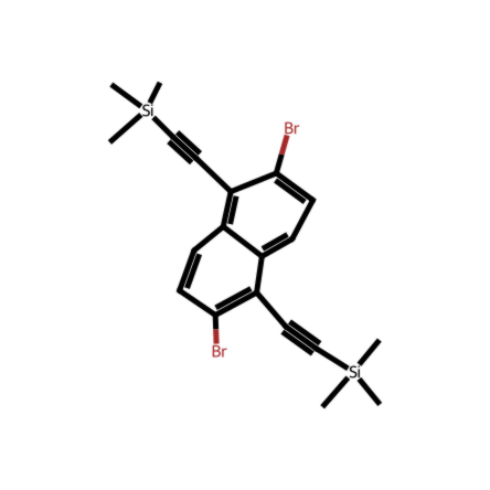 C[Si](C)(C)C#Cc1c(Br)ccc2c(C#C[Si](C)(C)C)c(Br)ccc12